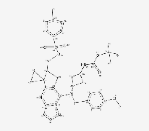 COc1ccc(CN(c2c3c(nc4ccnn24)C2(CC2)C(COS(=O)(=O)c2ccc(C)cc2)C3)C2CC(NC(=O)OC(C)(C)C)C2)cc1